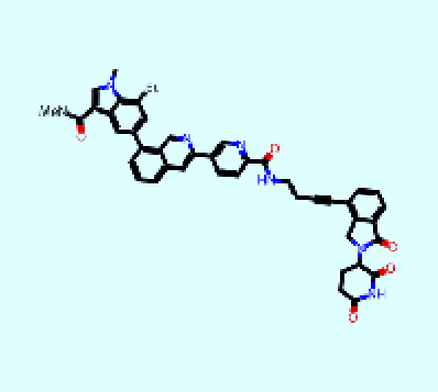 CCc1cc(-c2cccc3cc(-c4ccc(C(=O)NCCC#Cc5cccc6c5CN(C5CCC(=O)NC5=O)C6=O)nc4)ncc23)cc2c(C(=O)NC)cn(C)c12